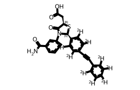 [2H]c1c([2H])c([2H])c(C#Cc2c([2H])c([2H])c([C@@H]3S[C@H](CC(=O)O)C(=O)N3c3cccc(C(N)=O)c3)c([2H])c2[2H])c([2H])c1[2H]